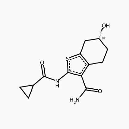 NC(=O)c1c(NC(=O)C2CC2)sc2c1CC[C@@H](O)C2